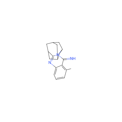 Cc1cccc2nc3n(c(=N)c12)C1CC2CC(CC3C2)C1